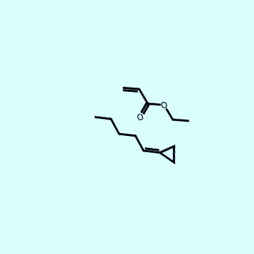 C=CC(=O)OCC.CCCCC=C1CC1